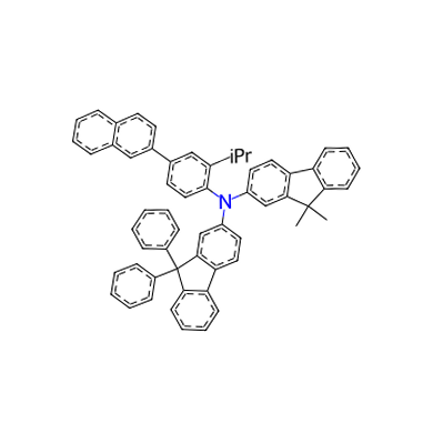 CC(C)c1cc(-c2ccc3ccccc3c2)ccc1N(c1ccc2c(c1)C(C)(C)c1ccccc1-2)c1ccc2c(c1)C(c1ccccc1)(c1ccccc1)c1ccccc1-2